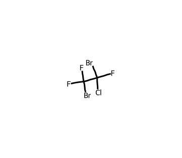 FC(F)(Br)C(F)(Cl)Br